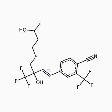 CC(O)CCSCC(O)(/C=C/c1ccc(C#N)c(C(F)(F)F)c1)C(F)(F)F